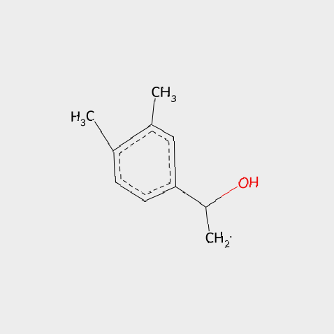 [CH2]C(O)c1ccc(C)c(C)c1